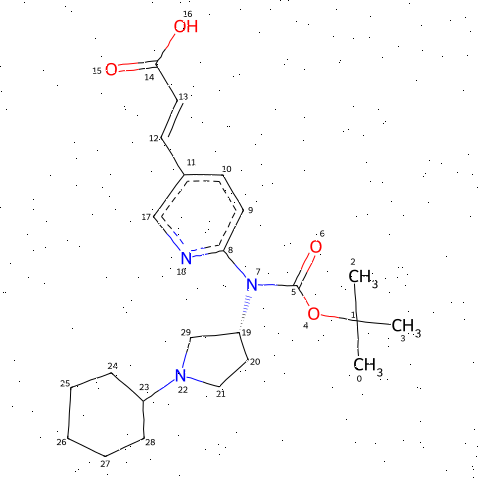 CC(C)(C)OC(=O)N(c1ccc(/C=C/C(=O)O)cn1)[C@@H]1CCN(C2CCCCC2)C1